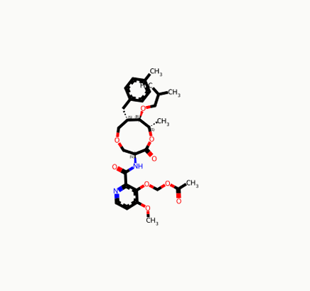 COc1ccnc(C(=O)N[C@H]2COC[C@H](Cc3ccc(C)cc3)[C@@H](OCC(C)C)[C@H](C)OC2=O)c1OCOC(C)=O